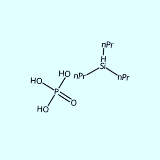 CCC[SiH](CCC)CCC.O=P(O)(O)O